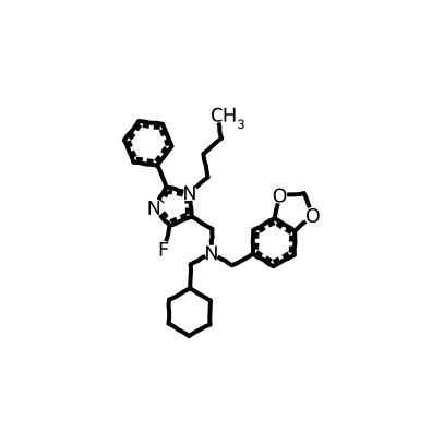 CCCCn1c(-c2ccccc2)nc(F)c1CN(Cc1ccc2c(c1)OCO2)CC1CCCCC1